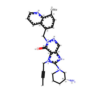 CC#CCn1c(N2CCC[C@@H](N)C2)nc2cnn(Cc3ccc(OC)c4ncccc34)c(=O)c21